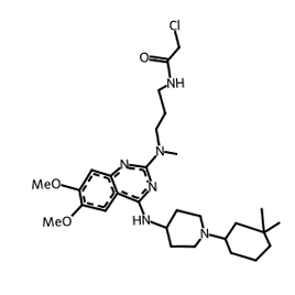 COc1cc2nc(N(C)CCCNC(=O)CCl)nc(NC3CCN(C4CCCC(C)(C)C4)CC3)c2cc1OC